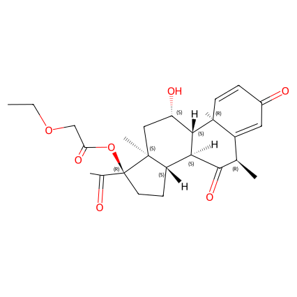 CCOCC(=O)O[C@]1(C(C)=O)CC[C@H]2[C@@H]3C(=O)[C@H](C)C4=CC(=O)C=C[C@]4(C)[C@H]3[C@@H](O)C[C@@]21C